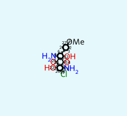 COc1ccc(-c2cc(N)c3c(c2O)C(=O)c2c(N)c(Cl)cc(O)c2C3=O)cc1